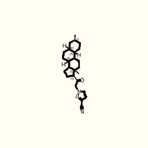 C[C@H]1CC[C@@H]2C3CC[C@@]4(C)C(CC[C@@H]4C(=O)Cn4ccc(C#N)n4)[C@@H]3CC[C@@H]2C1